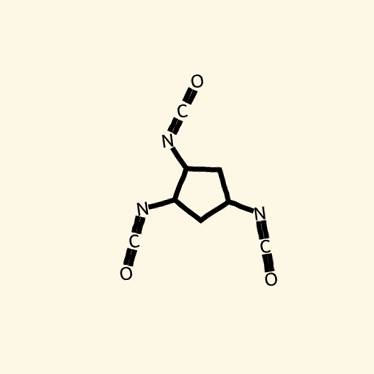 O=C=NC1CC(N=C=O)C(N=C=O)C1